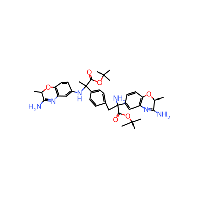 CC1Oc2ccc(NC(C)(C(=O)OC(C)(C)C)c3ccc(CC(N)(C(=O)OC(C)(C)C)c4ccc5c(c4)N=C(N)C(C)O5)cc3)cc2N=C1N